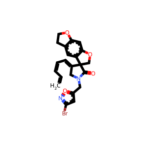 C=C/C=C\C=C1/CN(Cc2cc(Br)no2)C(=O)C12COc1cc3c(cc12)CCO3